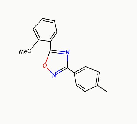 COc1ccccc1-c1nc(-c2ccc(C)cc2)no1